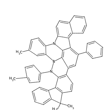 Cc1ccc(N2B3c4cc(C)ccc4-n4c5ccc6ccccc6c5c5c(-c6ccccc6)cc(c3c54)-c3ccc4c(c32)-c2ccccc2C4(C)C)cc1